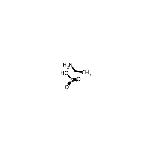 CCN.O=[SH](=O)O